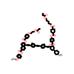 C=CC(=O)OCCCCCOC(=O)C1CCC(C(=O)Oc2ccc(C(=O)OC3(C#Cc4ccc(C#Cc5ccc(C#Cc6c(OC(=O)c7ccc(OCCCOC(=O)C=C)cc7)ccc7cc(C(=O)Oc8ccc(OCCC)cc8)ccc67)cc5)cc4)CCC(C4CCC(CCC)CC4)CC3)cc2)CC1